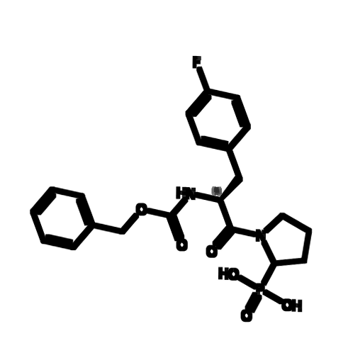 O=C(N[C@@H](Cc1ccc(F)cc1)C(=O)N1CCCC1P(=O)(O)O)OCc1ccccc1